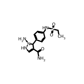 CCS(=O)(=O)Nc1ccc(C2C(C(N)=O)=CNN2N)cc1